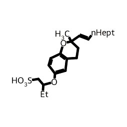 CCCCCCCC=CC1(C)CCc2cc(OC(CC)CS(=O)(=O)O)ccc2O1